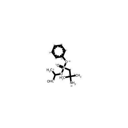 CC(C=O)OP(=O)(CC(C)(C)N)Oc1ccccc1